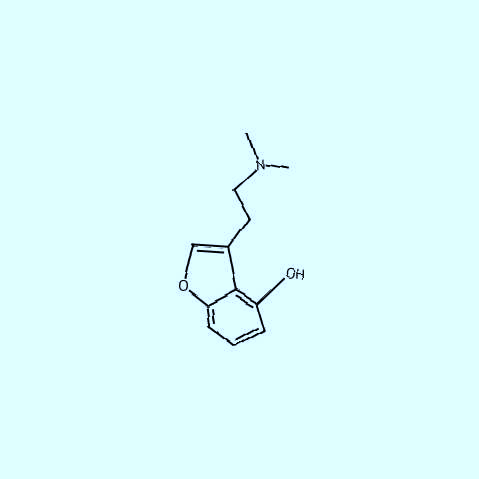 CN(C)CCc1coc2cccc(O)c12